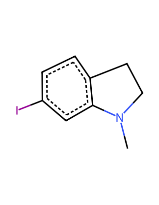 CN1CCc2ccc(I)cc21